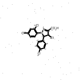 CCC1C(C(=O)O)=NN(c2ccc(Cl)cc2Cl)C1c1ccc(Cl)cc1